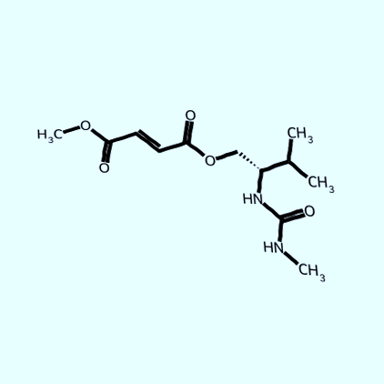 CNC(=O)N[C@H](COC(=O)/C=C/C(=O)OC)C(C)C